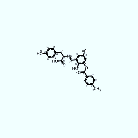 Cc1ccc(C(=O)Oc2cc(Cl)cc(C=NC(Cc3ccc(O)cc3)C(=O)O)c2O)cc1